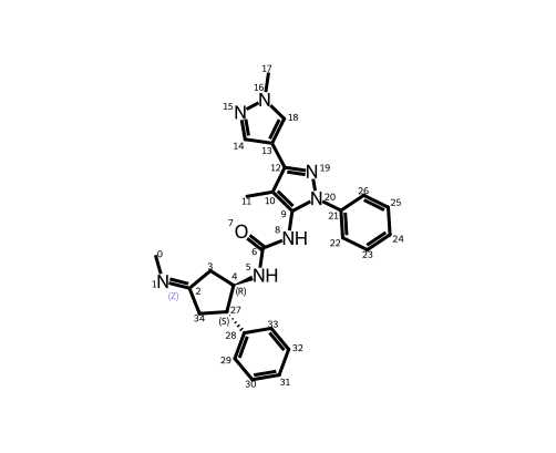 C/N=C1\C[C@@H](NC(=O)Nc2c(C)c(-c3cnn(C)c3)nn2-c2ccccc2)[C@H](c2ccccc2)C1